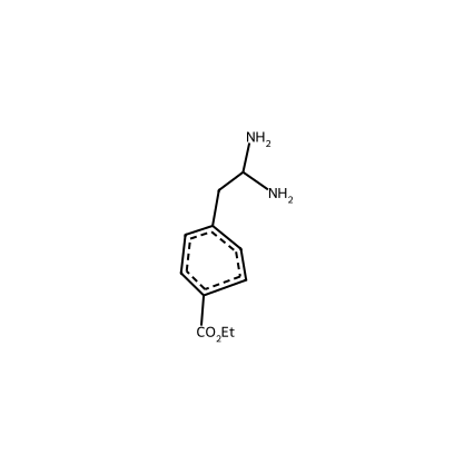 CCOC(=O)c1ccc(CC(N)N)cc1